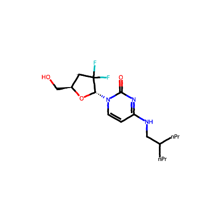 CCCC(CCC)CNc1ccn([C@@H]2O[C@@H](CO)[CH]C2(F)F)c(=O)n1